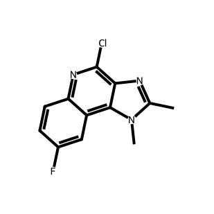 Cc1nc2c(Cl)nc3ccc(F)cc3c2n1C